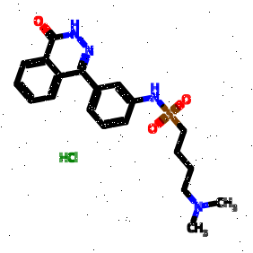 CN(C)CCCCS(=O)(=O)Nc1cccc(-c2n[nH]c(=O)c3ccccc23)c1.Cl